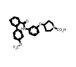 O=C(Nc1cccc(OC2CCN(C(=O)O)CC2)c1)c1ccccc1-c1ccc(OC(F)(F)F)cc1